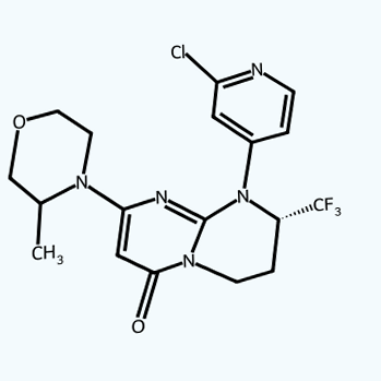 CC1COCCN1c1cc(=O)n2c(n1)N(c1ccnc(Cl)c1)[C@H](C(F)(F)F)CC2